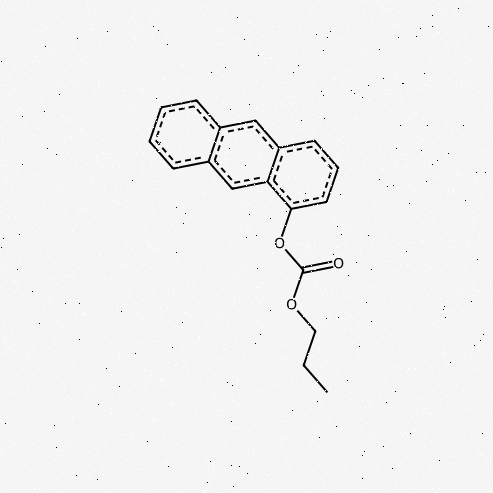 CCCOC(=O)Oc1cccc2cc3ccccc3cc12